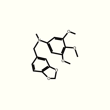 COc1cc(N(C)Cc2ccc3c(c2)OCO3)cc(OC)c1OC